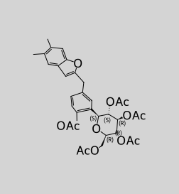 CC(=O)OC[C@H]1O[C@@H](c2cc(Cc3cc4cc(C)c(C)cc4o3)ccc2OC(C)=O)[C@H](OC(C)=O)[C@@H](OC(C)=O)[C@@H]1OC(C)=O